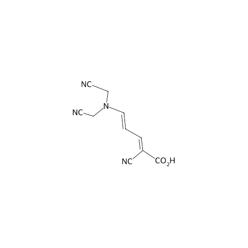 N#CCN(/C=C/C=C(\C#N)C(=O)O)CC#N